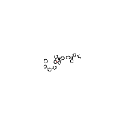 c1ccc(-c2cccc(-c3cccc(-c4cccc(-c5ccc(-c6ccccc6-n6c7ccccc7c7cc(-c8ccc9c(c8)c8ccccc8n9-c8cccc(-c9ccccc9)c8)ccc76)cc5)c4)c3)c2)cc1